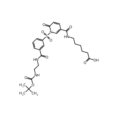 CC(C)(C)OC(=O)NCCNC(=O)c1cccc(S(=O)(=O)n2cc(C(=O)NCCCCCC(=O)O)ccc2=O)c1